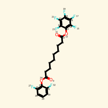 O=C(CCCCCCCCC(=O)Oc1c(F)c(F)c(F)c(F)c1F)Oc1c(F)cccc1F